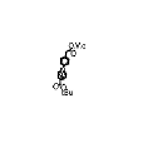 COC(=O)Cc1ccc(N2CC3CCC2CN3C(=O)OC(C)(C)C)cc1